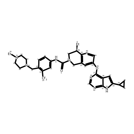 CC[C@@H]1CN(C(=O)Nc2ccc(CN3CCN(CC)CC3)c(C(F)(F)F)c2)Cc2cc(Oc3ncnc4[nH]c(C5CC5)cc34)cnc21